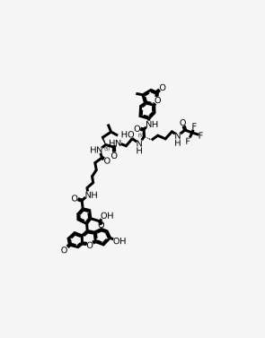 Cc1cc(=O)oc2cc(NC(=O)[C@H](CCCCNC(=O)C(F)(F)F)NC(O)CNC(=O)[C@H](CC(C)C)NC(=O)CCCCCNC(=O)c3ccc(-c4c5ccc(=O)cc-5oc5cc(O)ccc45)c(C(=O)O)c3)ccc12